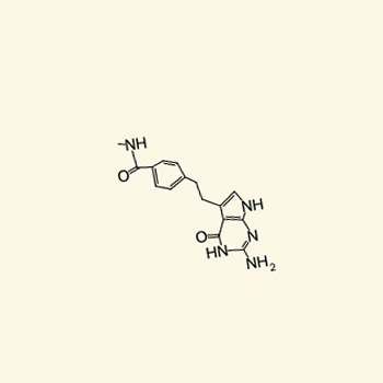 CNC(=O)c1ccc(CCc2c[nH]c3nc(N)[nH]c(=O)c23)cc1